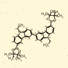 CCn1c2ccc(B3OC(C)(C)C(C)(C)O3)cc2c2cc(-c3ccc4c(c3)c3cc(B5OC(C)(C)C(C)(C)O5)ccc3n4CC)ccc21